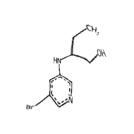 CCC(CO)Nc1cncc(Br)c1